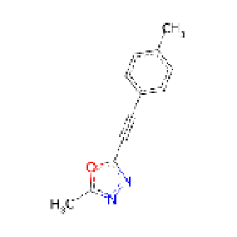 Cc1ccc(C#Cc2nnc(C)o2)cc1